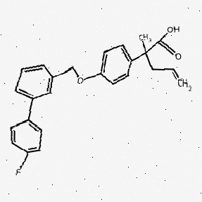 C=CCC(C)(C(=O)O)c1ccc(OCc2cccc(-c3ccc(F)cc3)c2)cc1